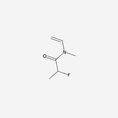 C=CN(C)C(=O)C(C)F